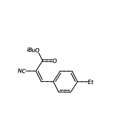 CCc1ccc(C=C(C#N)C(=O)OCC(C)C)cc1